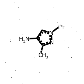 Cc1nn(C(C)C)cc1N